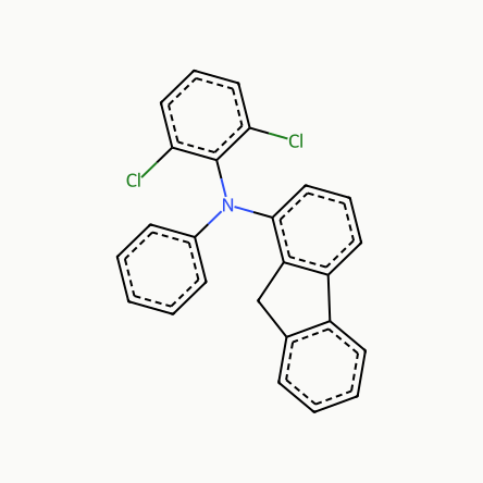 Clc1cccc(Cl)c1N(c1ccccc1)c1cccc2c1Cc1ccccc1-2